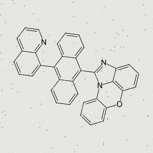 c1ccc2c(c1)Oc1cccc3nc(-c4c5ccccc5c(-c5cccc6cccnc56)c5ccccc45)n-2c13